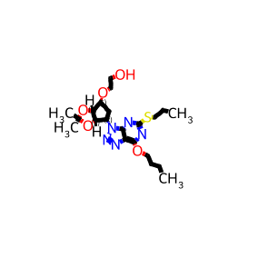 CCCCOc1nc(SCCC)nc2c1nnn2[C@@H]1C[C@H](OCCO)[C@H]2OC(C)(C)O[C@H]21